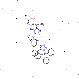 CCc1nc2c(C)cc(C=C3CCCC3=O)nc2n1[C@H]1CCc2cc(-c3ccccc3-c3nnnn3C(c3ccccc3)(c3ccccc3)c3ccccc3)ccc21